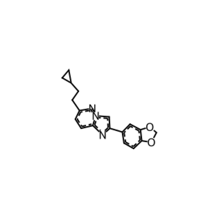 c1cc2c(cc1-c1cn3nc(CCC4CC4)ccc3n1)OCO2